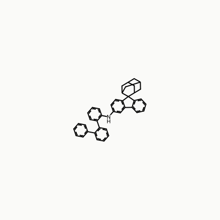 c1ccc(-c2ccccc2-c2ccccc2Nc2ccc3c(c2)-c2ccccc2C32C3CC4CC(C3)CC2C4)cc1